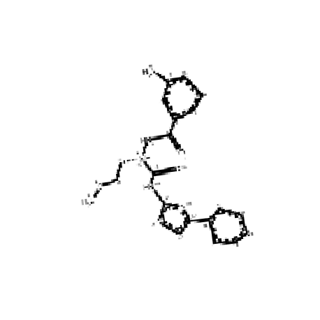 CSCC[Si@H](NC(=O)c1cccc(N)c1)C(=O)Nc1nc(-c2ccccc2)cs1